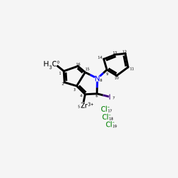 CC1=CC2=[C]([Zr+3])C(I)N(c3ccccc3)C2=C1.[Cl-].[Cl-].[Cl-]